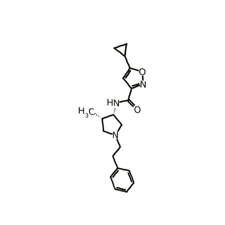 C[C@H]1CN(CCc2ccccc2)C[C@H]1NC(=O)c1cc(C2CC2)on1